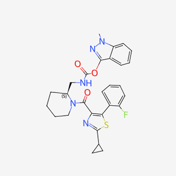 Cn1nc(OC(=O)NC[C@@H]2CCCCN2C(=O)c2nc(C3CC3)sc2-c2ccccc2F)c2ccccc21